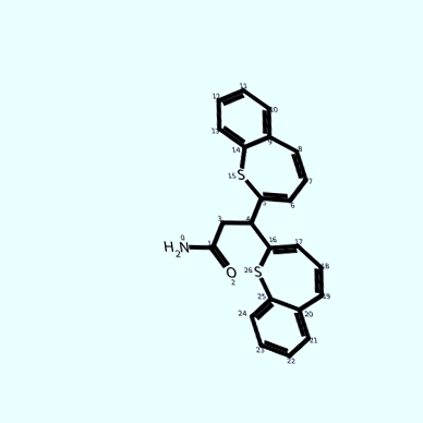 NC(=O)CC(C1=CC=Cc2ccccc2S1)C1=CC=Cc2ccccc2S1